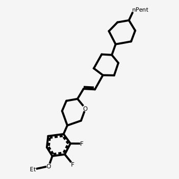 CCCCCC1CCC(C2CCC(/C=C/C3CCC(c4ccc(OCC)c(F)c4F)CO3)CC2)CC1